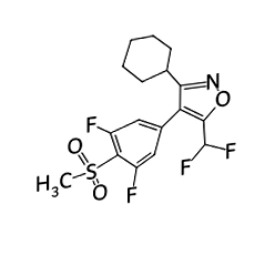 CS(=O)(=O)c1c(F)cc(-c2c(C3CCCCC3)noc2C(F)F)cc1F